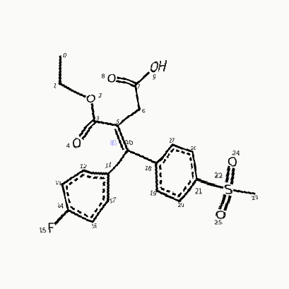 CCOC(=O)/C(CC(=O)O)=C(\c1ccc(F)cc1)c1ccc(S(C)(=O)=O)cc1